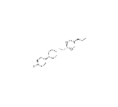 CCC[C@H]1CO[C@H](CC[C@H]2CC[C@H](C3CC=C(F)CC3)CC2)OC1